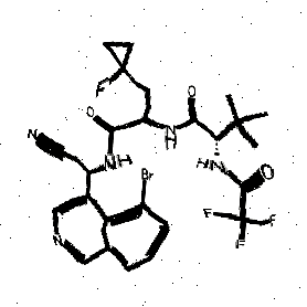 CC(C)(C)[C@H](NC(=O)C(F)(F)F)C(=O)NC(CC1(F)CC1)C(=O)NC(C#N)c1cncc2cccc(Br)c12